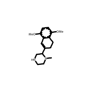 COc1ccc(OC)c2c1C=C(C1CNCCN1C)CC2